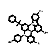 CC(C)(C)c1ccc(N2c3ccc(C(C)(C)C)cc3B3c4c2cc(C(C)(C)c2ccccc2)cc4-n2c4ccc(C(C)(C)C)cc4c4cc(C(C)(C)C)cc3c42)cc1